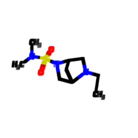 CCN1CC2CC1CN2S(=O)(=O)N(C)C